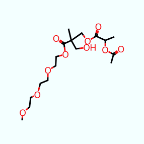 COCCOCCOCCOC(=O)C(C)(CO)COC(=O)C(C)OC(C)=O